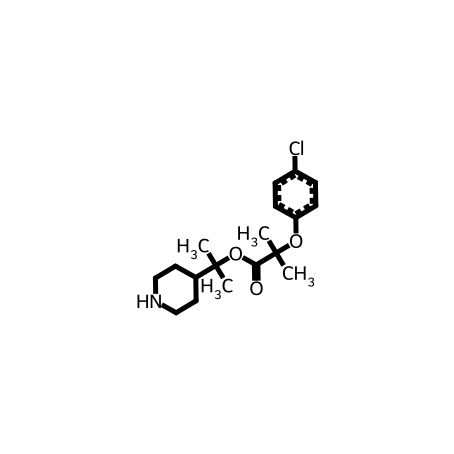 CC(C)(Oc1ccc(Cl)cc1)C(=O)OC(C)(C)C1CCNCC1